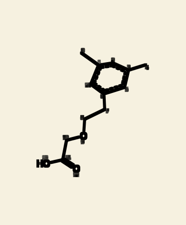 Cc1cc(C)cc(CCOCC(=O)O)c1